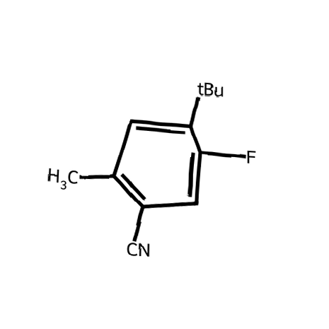 Cc1cc(C(C)(C)C)c(F)cc1C#N